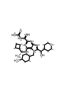 CC1CCC(Cn2c(C(O)C3CCOCC3)nc3nc(C(=N)NC(=O)O)nc(N[C@H](C)C4CCC4)c32)CC1